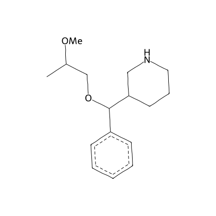 COC(C)COC(c1ccccc1)C1CCCNC1